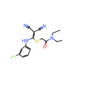 CCN(CC)C(=O)CSC(Nc1cccc(F)c1)=C(C#N)C#N